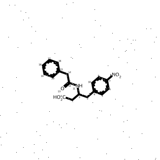 O=C(O)CC(Cc1ccc([N+](=O)[O-])cc1)NC(=O)Cc1ccccc1